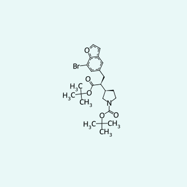 CC(C)(C)OC(=O)[C@@H](Cc1cc(Br)c2occc2c1)[C@H]1CCN(C(=O)OC(C)(C)C)C1